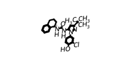 CC(C)(C)c1cc(NC(=O)N[C@H]2CCCc3ccccc32)n(-c2ccc(O)c(Cl)c2)n1